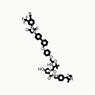 Cc1ncsc1-c1ccc(CNC(=O)[C@@H]2C[C@@H](O)CN2C(=O)[C@@H](NC(=O)COc2ccc(Oc3cccc(-c4ccc(N5CC(=O)N(c6ccc(C#N)c(C(F)(F)F)c6)C5=S)cc4)c3)cc2)C(C)(C)C)cc1